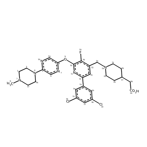 CN1CCN(c2cnc(Oc3nc(-c4cc(Cl)cc(Cl)c4)cc(CN4CCC(CC(=O)O)CC4)c3F)cn2)CC1